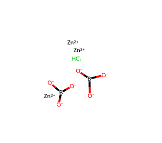 Cl.[O-]B([O-])[O-].[O-]B([O-])[O-].[Zn+2].[Zn+2].[Zn+2]